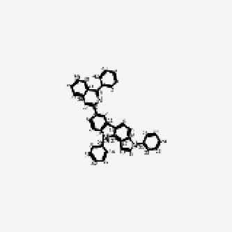 c1ccc(-c2nc(-c3ccc4c(c3)c3ccc5c(ccn5-c5ccccc5)c3n4-c3ccccc3)cc3ccccc23)cc1